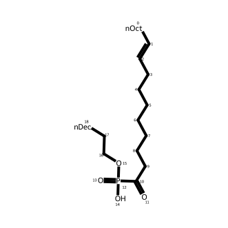 CCCCCCCCC=CCCCCCCCC(=O)P(=O)(O)OCCCCCCCCCCCC